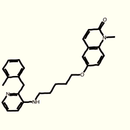 Cc1ccccc1Cc1ncccc1NCCCCCOc1ccc2c(ccc(=O)n2C)c1